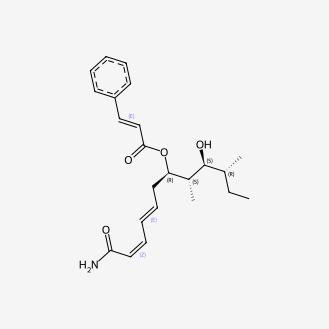 CC[C@@H](C)[C@H](O)[C@H](C)[C@@H](C/C=C/C=C\C(N)=O)OC(=O)/C=C/c1ccccc1